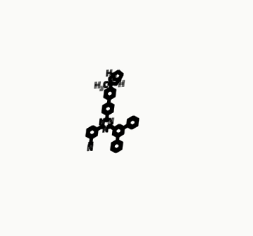 CC1(c2ccc(-c3ccc(-c4nc(-c5cccc(C#N)c5)nc(-c5cc(-c6ccccc6)cc(-c6ccccc6)c5)n4)cc3)cc2)C[C@@H]2CC[C@@H](C2)C1